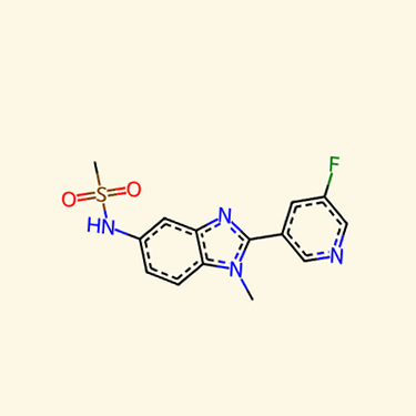 Cn1c(-c2cncc(F)c2)nc2cc(NS(C)(=O)=O)ccc21